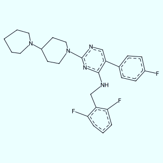 Fc1ccc(-c2cnc(N3CCC(N4CCCCC4)CC3)nc2NCc2c(F)cccc2F)cc1